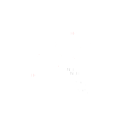 O=S(O)OS(=O)OS(=O)O.[CaH2].[CaH2].[NaH].[NaH]